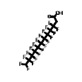 O=C(O)CC(F)(F)C(F)(F)C(F)(F)C(F)(F)C(F)(F)C(F)(F)C(F)(F)C(F)(F)C(F)(F)C(F)F